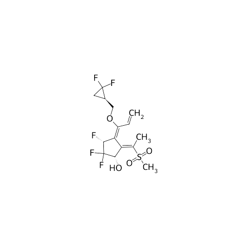 C=C/C(OC[C@H]1CC1(F)F)=C1\C(=C(/C)S(C)(=O)=O)[C@H](O)C(F)(F)[C@@H]1F